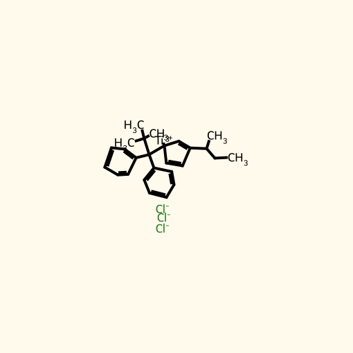 CCC(C)C1=C[C]([Ti+3])(C(c2ccccc2)(c2ccccc2)C(C)(C)C)C=C1.[Cl-].[Cl-].[Cl-]